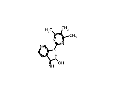 Cc1nc(Sc2cnccc2C(=N)NO)nc(C)c1C